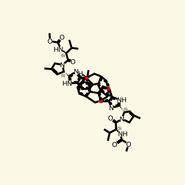 COC(=O)N[C@H](C(=O)N1CC(C)=C[C@H]1c1nc2cc(-c3cc4ccc3CCc3ccc(c(-c5ccc6[nH]c([C@@H]7C=C(C)CN7C(=O)[C@@H](NC(=O)OC)C(C)C)nc6c5)c3)C[C@H]4C)ccc2[nH]1)C(C)C